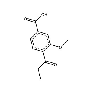 CCC(=O)c1ccc(C(=O)O)cc1OC